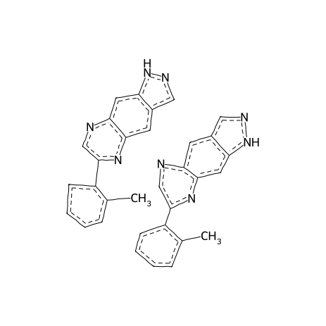 Cc1ccccc1-c1cnc2cc3[nH]ncc3cc2n1.Cc1ccccc1-c1cnc2cc3cn[nH]c3cc2n1